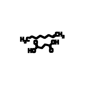 C=CCCCCCC.O=C(O)CCC(=O)O